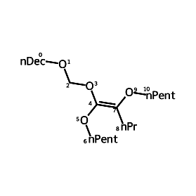 CCCCCCCCCCOCOC(OCCCCC)=C(CCC)OCCCCC